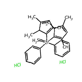 CC1=CC(C)=[C]([Zr](=[SiH2])([C]2=C(C)C=C(C)C2C)([c]2ccccc2)[c]2ccccc2)C1C.Cl.Cl